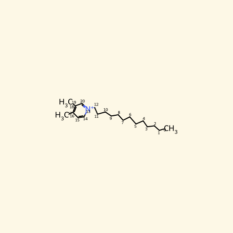 CCCCCCCCCCCCC[n+]1ccc(C)c(C)c1